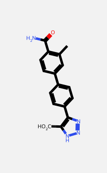 Cc1cc(-c2ccc(-c3nn[nH]c3C(=O)O)cc2)ccc1C(N)=O